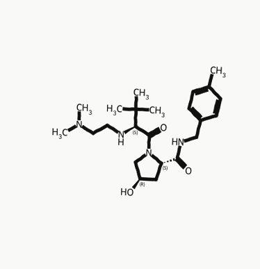 Cc1ccc(CNC(=O)[C@@H]2C[C@@H](O)CN2C(=O)[C@@H](NCCN(C)C)C(C)(C)C)cc1